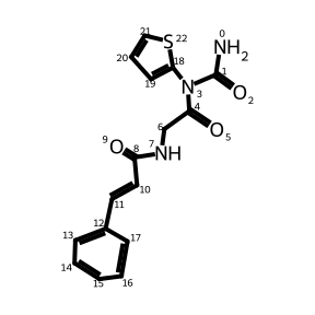 NC(=O)N(C(=O)CNC(=O)C=Cc1ccccc1)c1cccs1